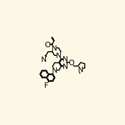 C=CC(=O)N1CCN(c2nc(OCC3CCCN3C)nc3c2CCN(c2ccc(F)c4ccccc24)C3)CC1CC#N